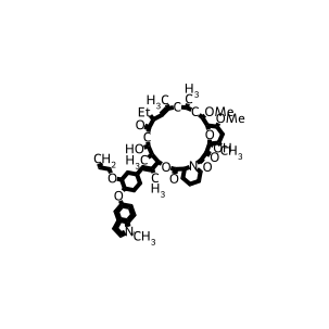 C=CCOC1CC(C=C(C)C2OC(=O)C3CCCCN3C(=O)C(=O)C3(O)OC(C(OC)CC(C)C/C(C)=C/C(CC)C(=O)CC(O)C2C)C(OC)CC3C)CCC1Oc1ccc2c(ccn2C)c1